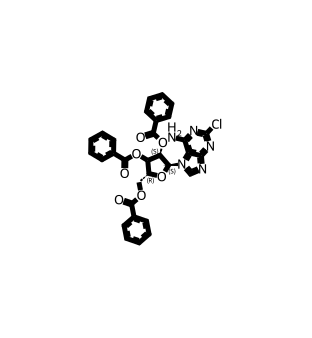 Nc1nc(Cl)nc2ncn([C@H]3O[C@H](COC(=O)c4ccccc4)C(OC(=O)c4ccccc4)[C@@H]3OC(=O)c3ccccc3)c12